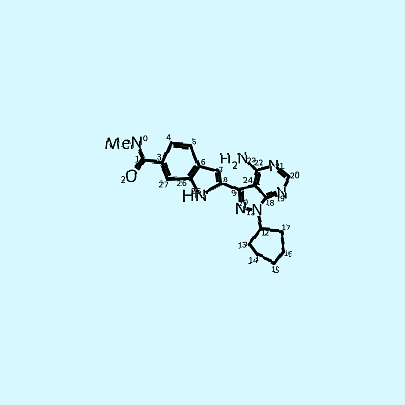 CNC(=O)c1ccc2cc(-c3nn(C4CCCCC4)c4ncnc(N)c34)[nH]c2c1